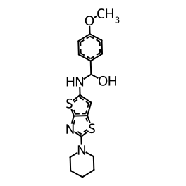 COc1ccc(C(O)Nc2cc3sc(N4CCCCC4)nc3s2)cc1